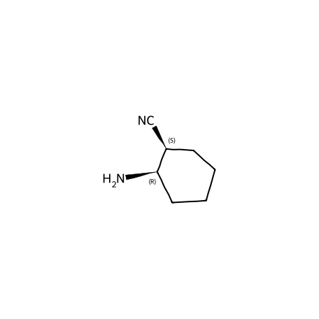 N#C[C@H]1CCCC[C@H]1N